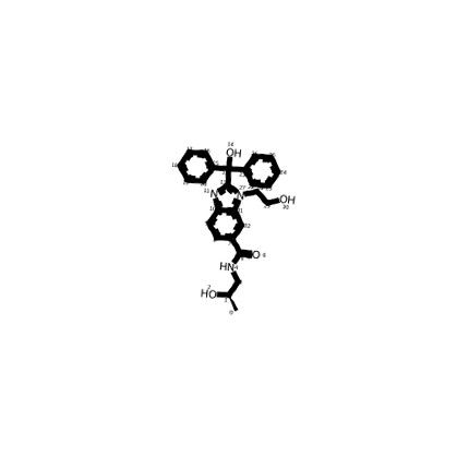 C[C@@H](O)CNC(=O)c1ccc2nc(C(O)(c3ccccc3)c3ccccc3)n(CCO)c2c1